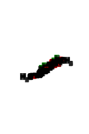 CCCCCC1CCC(c2ccc(C3CCC(C(=O)Oc4ccc(OC)c(F)c4F)CC3)c(F)c2F)CC1